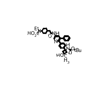 CCN(C(=O)O)C1CCC(CC(=O)Nc2cnc(-c3ccc([C@]4(NC(=O)OC(C)(C)C)C[C@](C)(O)C4)cc3)c(-c3ccccc3)c2)CC1